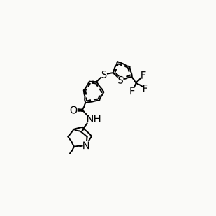 CC1CC2CCN1CC2NC(=O)c1ccc(Sc2ccc(C(F)(F)F)s2)cc1